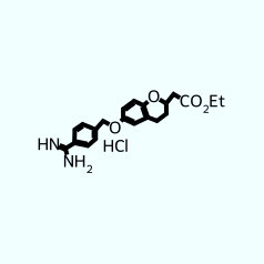 CCOC(=O)CC1CCc2cc(OCc3ccc(C(=N)N)cc3)ccc2O1.Cl